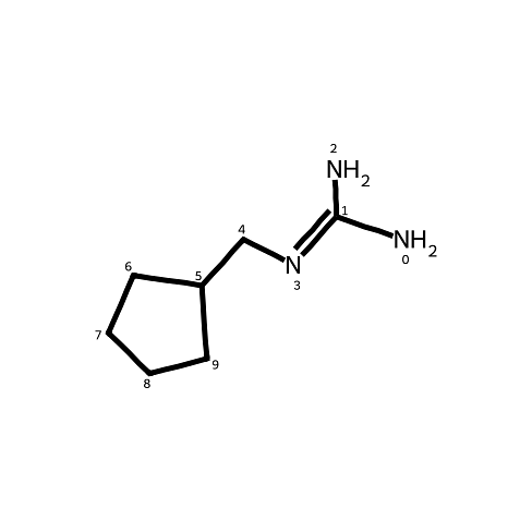 NC(N)=NCC1CCCC1